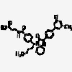 CCCCC(c1ccc(C(=O)NCCC(=O)O)cc1)N1C(=O)C(c2ccc(-c3cc(C)cc(Cl)c3)cc2)=NC12CCCCC2